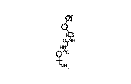 Cn1ccc(-c2cccc(-c3csc(NC(=O)CNC(=O)c4cccc(C(C)(C)CN)c4)n3)c2)n1